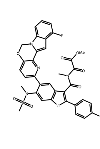 COC(=O)C(=O)N(C)C(=O)c1c(-c2ccc(F)cc2)oc2cc(N(C)S(C)(=O)=O)c(-c3ccc4c(n3)-c3cc5c(F)cccc5n3CO4)cc12